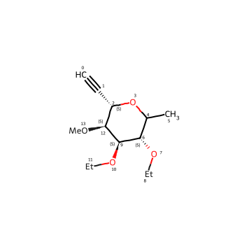 C#C[C@@H]1OC(C)[C@H](OCC)[C@@H](OCC)[C@H]1OC